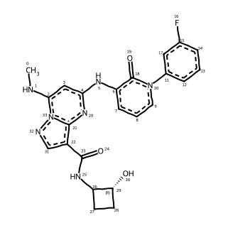 CNc1cc(Nc2cccn(-c3cccc(F)c3)c2=O)nc2c(C(=O)NC3CC[C@H]3O)cnn12